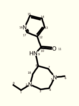 CCN1CCN(C)CC(NC(=O)c2cccnc2)C1